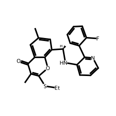 CCSc1oc2c([C@@H](C)Nc3cccnc3-c3ccccc3F)cc(C)cc2c(=O)c1C